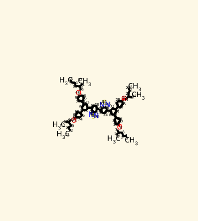 CCCCC(CC)COc1ccc(-c2cc(-c3ccc(OCC(CC)CCCC)cc3)cc(-c3ccc(-c4ccc(-c5cc(-c6ccc(OCC(CC)CCCC)cc6)cc(-c6ccc(OCC(CC)CCCC)cc6)c5)c5nsnc45)c4nsnc34)c2)cc1